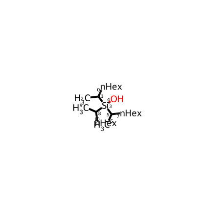 CCCCCCC(C)[Si](O)(C(C)CCCCCC)C(C)CCCCCC